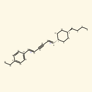 CCCC[C@H]1CC[C@H](/C=C/C#C/C=C/c2ccc(CC)cc2)CC1